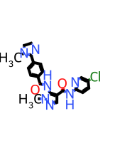 CN1CCN=C1c1ccc(C(=O)Nc2c(C(=O)Nc3ccc(Cl)cn3)cnn2C)cc1